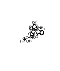 CNc1ccccc1C(=O)O[C@@H]1[C@H](O)[C@@H](COP(=O)(O)O)O[C@H]1n1cnc2c(=O)[nH]c(N)nc21